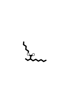 CCCCCCC(CC)C(=O)OCCCCC